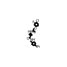 CC(C)c1ccc(CNC(=O)C23CC(NC(=O)COc4ccc(Cl)c(F)c4)(C2)C3)cc1